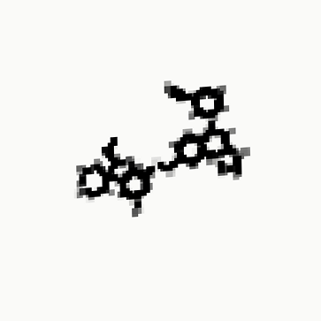 COC(=O)C1(c2cc(F)cc(OCc3ccc4c(-c5cccc(C#N)c5)cc5nncn5c4c3)c2)CCOCC1